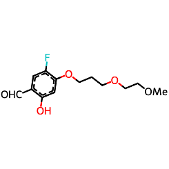 COCCOCCCOc1cc(O)c(C=O)cc1F